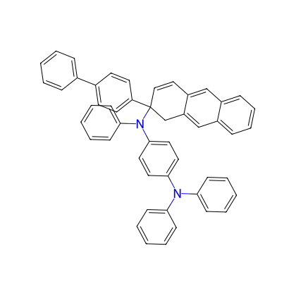 C1=CC(c2ccc(-c3ccccc3)cc2)(N(c2ccccc2)c2ccc(N(c3ccccc3)c3ccccc3)cc2)Cc2cc3ccccc3cc21